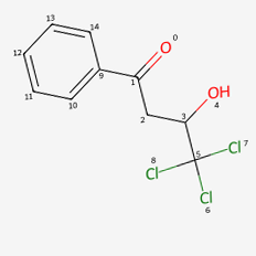 O=C(CC(O)C(Cl)(Cl)Cl)c1ccccc1